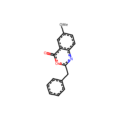 COc1ccc2nc(Cc3ccccc3)oc(=O)c2c1